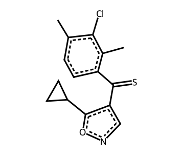 Cc1ccc(C(=S)c2cnoc2C2CC2)c(C)c1Cl